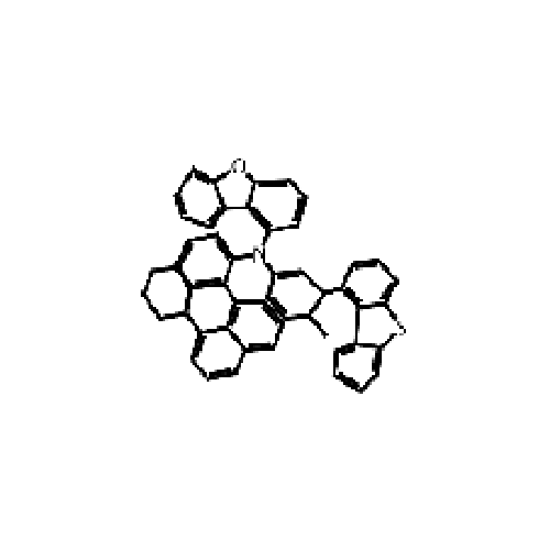 CC1C=CC(N(c2ccccc2-c2cccc3cccc(C4CCCCC4)c23)c2cccc3oc4ccccc4c23)=CC1c1cccc2sc3ccccc3c12